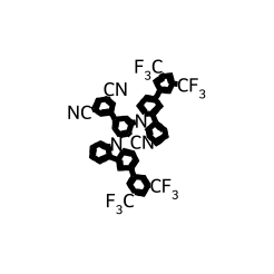 N#Cc1cc(C#N)cc(-c2cc(-n3c4ccccc4c4cc(-c5cc(C(F)(F)F)cc(C(F)(F)F)c5)ccc43)c(C#N)c(-n3c4ccccc4c4cc(-c5cc(C(F)(F)F)cc(C(F)(F)F)c5)ccc43)c2)c1